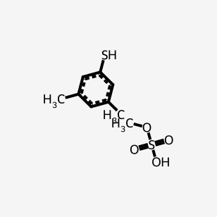 COS(=O)(=O)O.Cc1cc(C)cc(S)c1